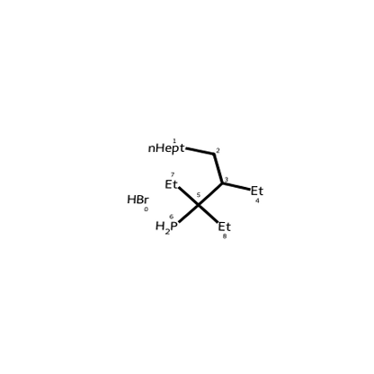 Br.CCCCCCCCC(CC)C(P)(CC)CC